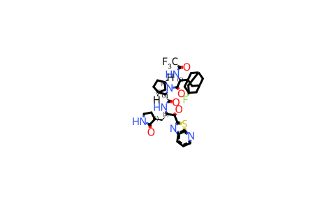 O=C1NCC[C@H]1C[C@H](NC(=O)[C@@H]1[C@H]2CC[C@H](C2)N1C(=O)[C@@H](NC(=O)C(F)(F)F)C12CC3CC(CC(F)(C3)C1)C2)C(=O)c1nc2cccnc2s1